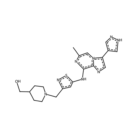 Cc1cn2c(-c3cn[nH]c3)cnc2c(Nc2cc(CN3CCC(CO)CC3)ns2)n1